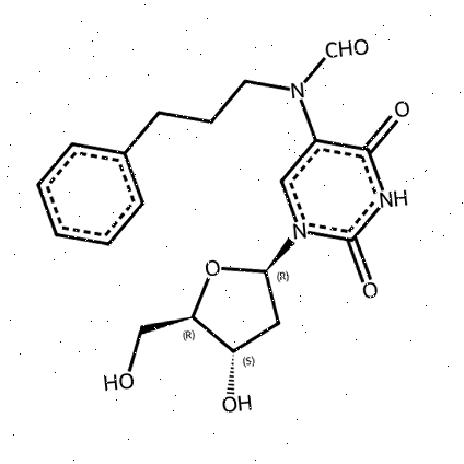 O=CN(CCCc1ccccc1)c1cn([C@H]2C[C@H](O)[C@@H](CO)O2)c(=O)[nH]c1=O